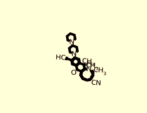 C#Cc1cc2c(cc1N1CCC(N3CCCCC3)CC1)C(C)(C)c1[nH]c(C)cc(C#N)cccc1C2=O